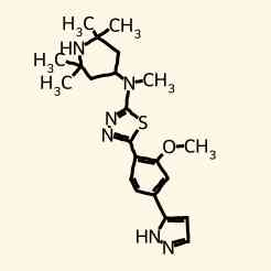 COc1cc(-c2ccn[nH]2)ccc1-c1nnc(N(C)C2CC(C)(C)NC(C)(C)C2)s1